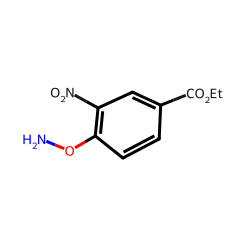 CCOC(=O)c1ccc(ON)c([N+](=O)[O-])c1